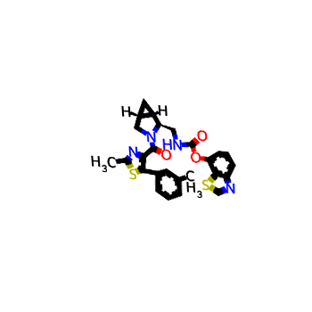 Cc1cccc(-c2sc(C)nc2C(=O)N2C[C@@H]3C[C@@H]3[C@H]2CNC(=O)Oc2cccc3ncsc23)c1